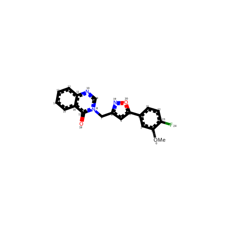 COc1cc(-c2cc(Cn3cnc4ccccc4c3=O)no2)ccc1F